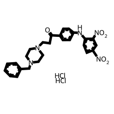 Cl.Cl.O=C(CCN1CCN(Cc2ccccc2)CC1)c1ccc(Nc2ccc([N+](=O)[O-])cc2[N+](=O)[O-])cc1